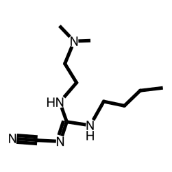 CCCCN/C(=N/C#N)NCCN(C)C